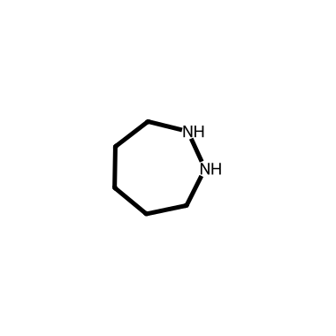 C1CCNNCC1